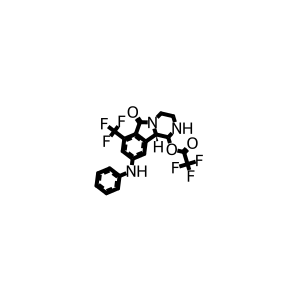 O=C1c2c(cc(Nc3ccccc3)cc2C(F)(F)F)[C@@H]2C(OC(=O)C(F)(F)F)NCCN12